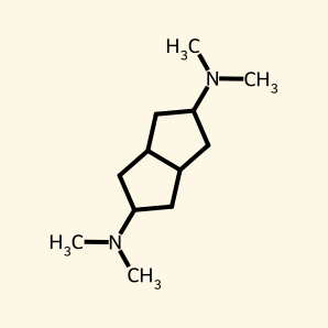 CN(C)C1CC2CC(N(C)C)CC2C1